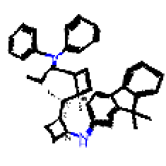 CCC(C1C=C[C@@]1(C)[C@@H](C)[C@@H]1CC[C@@H]1Nc1ccc2c(c1)C(C)(C)c1ccccc1-2)N(c1ccccc1)c1ccccc1